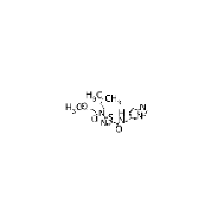 COCCC(=O)N(CCC(C)C)c1ncc(C(=O)NCc2ccc3nccn3c2)s1